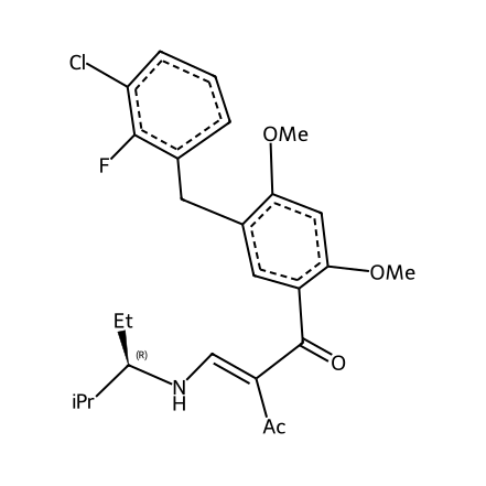 CC[C@@H](NC=C(C(C)=O)C(=O)c1cc(Cc2cccc(Cl)c2F)c(OC)cc1OC)C(C)C